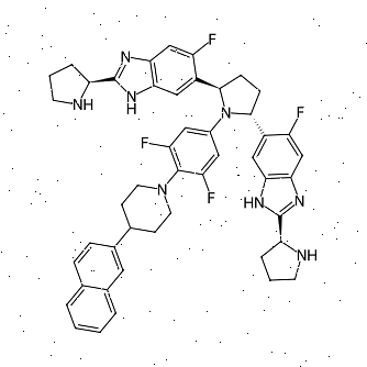 Fc1cc2nc([C@@H]3CCCN3)[nH]c2cc1[C@H]1CC[C@H](c2cc3[nH]c([C@@H]4CCCN4)nc3cc2F)N1c1cc(F)c(N2CCC(c3ccc4ccccc4c3)CC2)c(F)c1